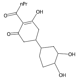 CCCC(=O)C1=C(O)CC(C2CCC(O)C(O)C2)CC1=O